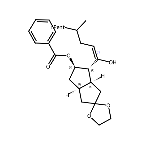 CCCCCC(C)C/C=C(/O)[C@@H]1[C@H]2CC3(C[C@H]2C[C@H]1OC(=O)c1ccccc1)OCCO3